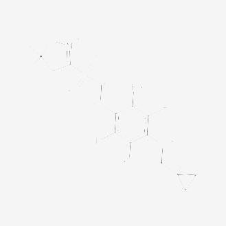 CC1(C)CC(S(=O)(=O)COc2c(F)c(F)c(OCC3CC3)c(F)c2F)=NO1